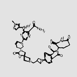 Cn1cc(Nc2nc(N3CCC[C@@H](N4CC5(CN(CC6CN(c7ccc8c(c7)C(=O)N(C7CCC(=O)NC7=O)C8=O)C6)C5)OC4=O)C3)cnc2C(N)=O)cn1